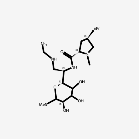 CCC[C@@H]1C[C@@H](C(=O)N[C@H](CNCC(F)(F)F)[C@H]2OC(SC)[C@H](O)C(O)C2O)N(C)C1